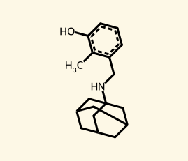 Cc1c(O)cccc1CNC12CC3CC(CC(C3)C1)C2